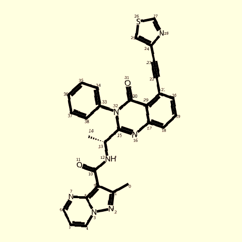 Cc1nn2cccnc2c1C(=O)N[C@H](C)c1nc2cccc(C#Cc3cscn3)c2c(=O)n1-c1ccccc1